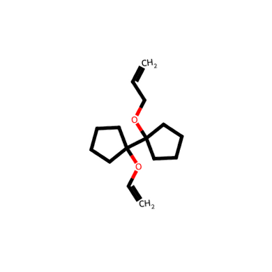 C=CCOC1(C2(OC=C)CCCC2)CCCC1